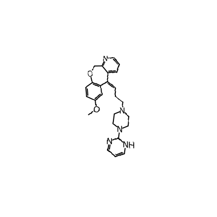 COc1ccc2c(c1)C(=CCCN1CCN(C3N=CC=CN3)CC1)c1cccnc1CO2